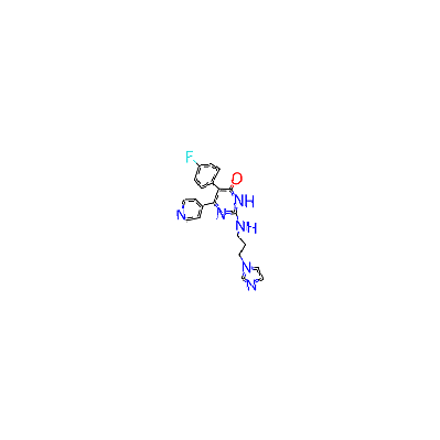 O=c1[nH]c(NCCCn2ccnc2)nc(-c2ccncc2)c1-c1ccc(F)cc1